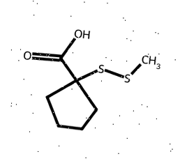 CSSC1(C(=O)O)CCCC1